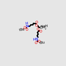 [CH2]C(COC(=O)CCCCNC(=O)OC(C)(C)C)OC(=O)CCCCNC(=O)OC(C)(C)C.[NaH]